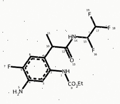 CCOC(=O)Nc1cc(N)c(F)cc1C(C)C(=O)NC(F)C(F)F